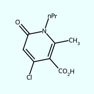 CCCn1c(C)c(C(=O)O)c(Cl)cc1=O